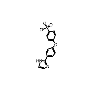 O=S(=O)(Cl)c1ccc(Oc2ccc(-c3ncc[nH]3)cc2)cc1